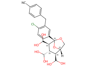 N#Cc1ccc(Cc2cc([C@@]34OC[C@@H](O3)[C@@H](C(O)O)[C@H](C(O)O)[C@H]4C(O)O)ccc2Cl)cc1